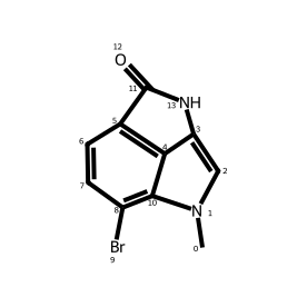 Cn1cc2c3c(ccc(Br)c31)C(=O)N2